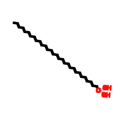 CCCCCCCCCCCCCCCCCCCCCCCCCCCCCCOB(O)O